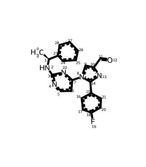 C[C@H](Nc1nccc(-n2cc(C=O)nc2-c2ccc(F)cc2)n1)c1ccccc1